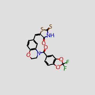 O=C1NC(=S)SC1=Cc1ccc2c(c1)N(C(=O)c1ccc3c(c1)OC(F)(F)O3)CCO2